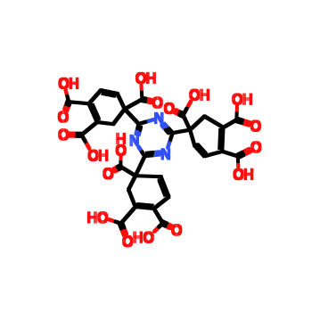 O=C(O)C1=C(C(=O)O)CC(C(=O)O)(c2nc(C3(C(=O)O)C=CC(C(=O)O)=C(C(=O)O)C3)nc(C3(C(=O)O)C=CC(C(=O)O)=C(C(=O)O)C3)n2)C=C1